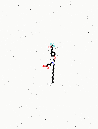 CCCCCCCCCCCCN(CCCC(=O)O)CCOc1ccc(C=CC(O)C(F)(F)F)cc1